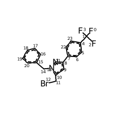 FC(F)(F)c1ccc(-c2cc(CBr)n(Cc3ccccc3)n2)cc1